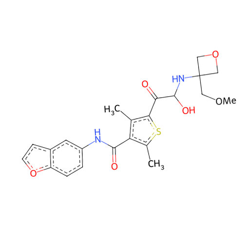 COCC1(NC(O)C(=O)c2sc(C)c(C(=O)Nc3ccc4occc4c3)c2C)COC1